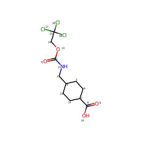 O=C(NCC1CCC(C(=O)O)CC1)OCC(Cl)(Cl)Cl